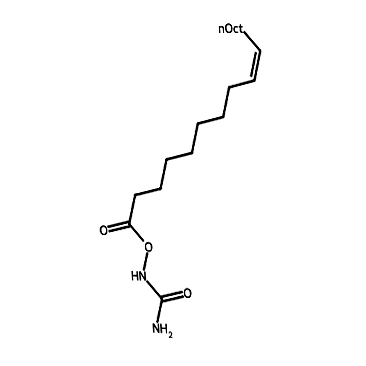 CCCCCCCC/C=C\CCCCCCCC(=O)ONC(N)=O